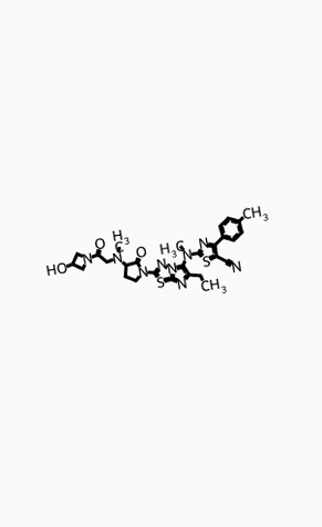 CCc1nc2sc(N3CCC(N(C)CC(=O)N4CC(O)C4)C3=O)nn2c1N(C)c1nc(-c2ccc(C)cc2)c(C#N)s1